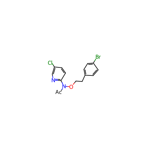 CC(=O)N(OCCc1ccc(Br)cc1)c1ccc(Cl)cn1